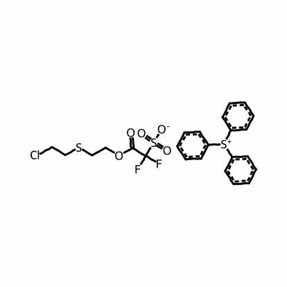 O=C(OCCSCCCl)C(F)(F)S(=O)(=O)[O-].c1ccc([S+](c2ccccc2)c2ccccc2)cc1